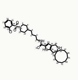 O=C(NCCCCC1CCN(S(=O)(=O)c2ccccc2Cl)CC1)c1cc2c([nH]1)CC1(CCCCCCCCC1)NC2